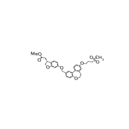 COC(=O)C[C@@H]1COc2cc(OCc3ccc4c(c3)-c3ccc(OCCCS(C)(=O)=O)cc3CCO4)ccc21